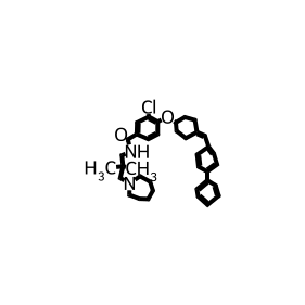 CC(C)(CNC(=O)c1ccc(OC2CCC(=Cc3ccc(-c4ccccc4)cc3)CC2)c(Cl)c1)CN1CCCCCC1